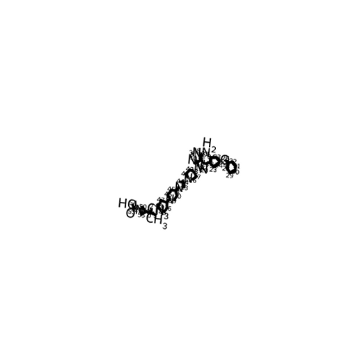 CC(C)(CN1CCC(N2CCC(N3CC(N4CCC(n5nc(-c6ccc(Oc7ccccc7)cc6)c6c(N)ncnc65)CC4)C3)CC2)CC1)C1CN(C(=O)O)C1